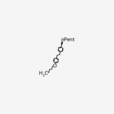 C=CCCCOc1ccc(C[CH]c2ccc(C#CCCCCC)cc2)cc1